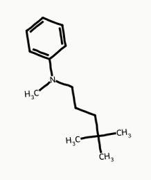 CN(CCCC(C)(C)C)c1ccccc1